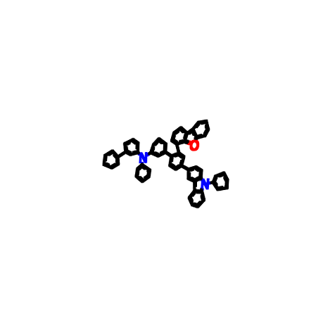 c1ccc(-c2cccc(N(c3ccccc3)c3cccc(-c4ccc(-c5ccc6c(c5)c5ccccc5n6-c5ccccc5)cc4-c4cccc5c4oc4ccccc45)c3)c2)cc1